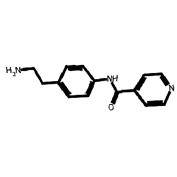 NCCc1ccc(NC(=O)c2ccncc2)cc1